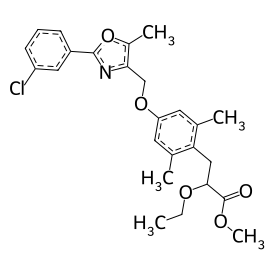 CCOC(Cc1c(C)cc(OCc2nc(-c3cccc(Cl)c3)oc2C)cc1C)C(=O)OC